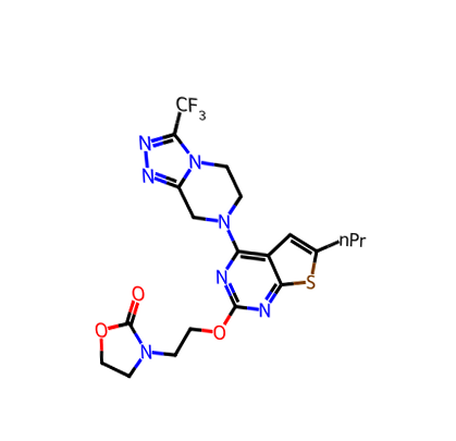 CCCc1cc2c(N3CCn4c(nnc4C(F)(F)F)C3)nc(OCCN3CCOC3=O)nc2s1